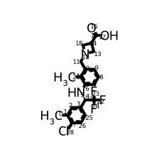 Cc1cc([C@H](Nc2cccc(CN3CC(C(=O)O)C3)c2C)C(F)(F)F)ccc1Cl